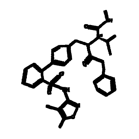 CNC(=O)[C@H](C(C)C)N(Cc1ccc(-c2ccccc2S(=O)(=O)Nc2noc(C)c2C)cc1)C(=O)Cc1ccccc1